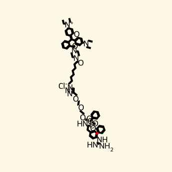 CCN(CC)c1ccc2c(-c3ccccc3C(=O)N3CCN(C(=O)CCCCCCCn4cc(COCCOCCOC(=O)NC(Cc5ccc(NC(=N)N)cc5)P(=O)(Oc5ccccc5)Oc5ccccc5)nn4)CC3)c3ccc(=[N+](CC)CC)cc-3oc2c1.[Cl-]